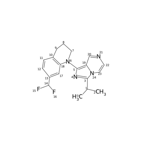 CC(C)c1nc(N2CCCc3ccc(C(F)F)cc32)c2cnccn12